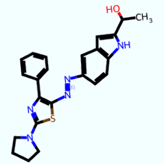 CC(O)c1cc2cc(/N=N/c3sc(N4CCCC4)nc3-c3ccccc3)ccc2[nH]1